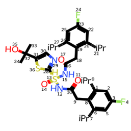 CC(C)c1cc(F)cc(C(C)C)c1CC(=O)N[SH](=O)(NC(=O)Cc1c(C(C)C)cc(F)cc1C(C)C)c1ncc(C(C)(C)O)s1